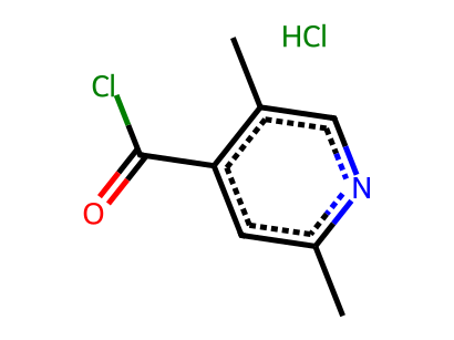 Cc1cc(C(=O)Cl)c(C)cn1.Cl